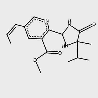 C/C=C\c1cnc(C2NC(=O)C(C)(C(C)C)N2)c(C(=O)OC)c1